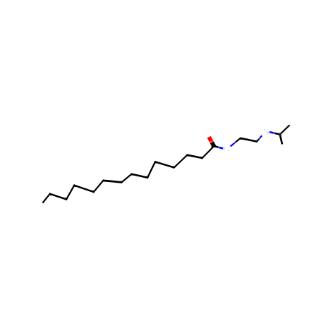 CCCCCCCCCCCCCC(=O)NCCNC(C)C